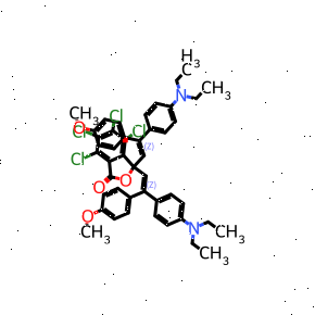 CCN(CC)c1ccc(/C(=C/C2(/C=C(\c3ccc(OC)cc3)c3ccc(N(CC)CC)cc3)OC(=O)c3c(Cl)c(Cl)c(Cl)c(Cl)c32)c2ccc(OC)cc2)cc1